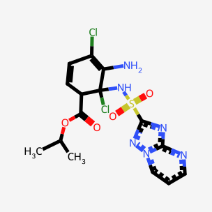 CC(C)OC(=O)C1C=CC(Cl)=C(N)C1(Cl)NS(=O)(=O)c1nc2ncccn2n1